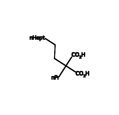 CCCCCCCCCC(CCC)(C(=O)O)C(=O)O